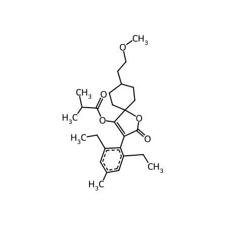 CCc1cc(C)cc(CC)c1C1=C(OC(=O)C(C)C)C2(CCC(CCOC)CC2)OC1=O